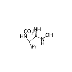 CC(C)C(NC(=O)O)C(=N)NO